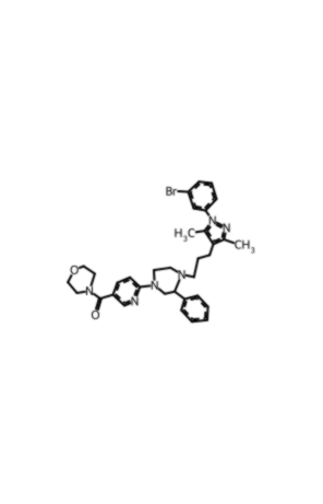 Cc1nn(-c2cccc(Br)c2)c(C)c1CCCN1CCN(c2ccc(C(=O)N3CCOCC3)cn2)CC1c1ccccc1